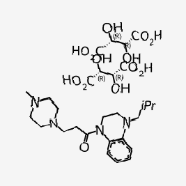 CC(C)CN1CCN(C(=O)CCN2CCN(C)CC2)c2ccccc21.O=C(O)[C@H](O)[C@@H](O)C(=O)O.O=C(O)[C@H](O)[C@@H](O)C(=O)O